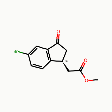 COC(=O)C[C@@H]1CC(=O)c2cc(Br)ccc21